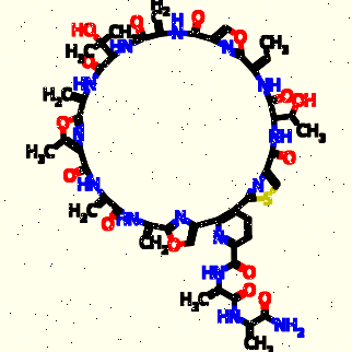 C=C(NC(=O)C(=C)NC(=O)c1ccc2c(n1)-c1coc(n1)C(=C)NC(=O)C(=C)NC(=O)c1nc(oc1C)C(=C)NC(=O)C(C(C)(C)O)NC(=O)C(=C)NC(=O)c1coc(n1)/C(=C\C)NC(=O)C(C(C)O)NC(=O)c1csc-2n1)C(N)=O